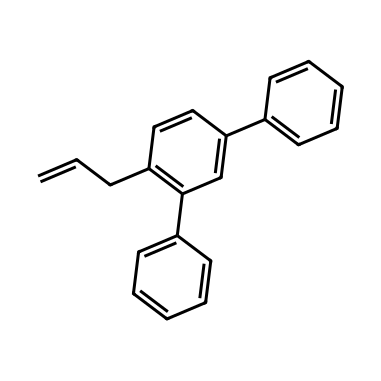 C=CCc1ccc(-c2ccccc2)cc1-c1ccccc1